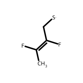 CC(F)=C(F)C[S]